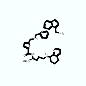 NCc1cccc2ccccc12.O=C(N[C@@H](CCCNC1CCCc2cccnc21)C(=O)O)c1ccc(CNCc2ccccn2)o1